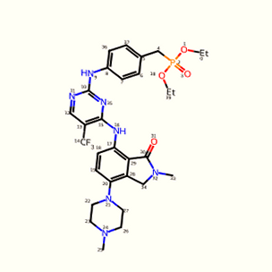 CCOP(=O)(Cc1ccc(Nc2ncc(C(F)(F)F)c(Nc3ccc(N4CCN(C)CC4)c4c3C(=O)N(C)C4)n2)cc1)OCC